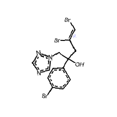 OC(C/C(Br)=C/Br)(Cn1cncn1)c1ccc(Br)cc1